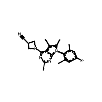 Cc1nc(N2CC(C#N)C2)c2c(C)c(C)n(-c3c(C)cc(Br)cc3C)c2n1